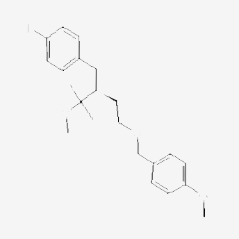 COc1ccc(COCC[C@H](Cc2ccc(F)cc2)C(C)(C)OC)cc1